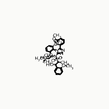 COc1cccc(-c2nnc(N(CC[Si](C)(C)C)S(=O)(=O)C(C)[C@H](O)c3ccccc3OC)n2-c2c(OC)cccc2OC)n1